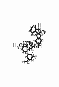 CC1(C)CC[C@@H](c2cc(F)cc(CI)c2)N(CC(=O)Nc2ccc3c(c2)C[C@@]2(C3)C(=O)Nc3ncccc32)C1=O